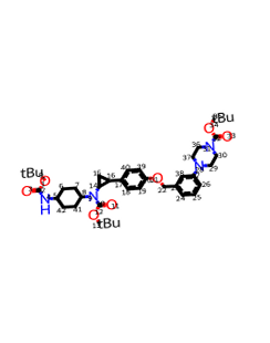 CC(C)(C)OC(=O)NC1CCC(N(C(=O)OC(C)(C)C)C2CC2c2ccc(OCc3cccc(N4CCN(C(=O)OC(C)(C)C)CC4)c3)cc2)CC1